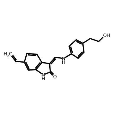 C=Cc1ccc2c(c1)NC(=O)C2=CNc1ccc(CCO)cc1